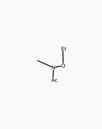 [CH2]N(OCC)C(C)=O